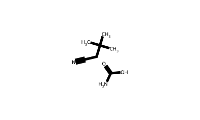 CC(C)(C)CC#N.NC(=O)O